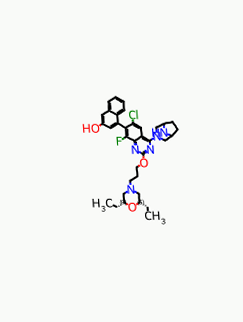 CC[C@@H]1CN(CCCOc2nc(N3CC4CCC(C3)N4)c3cc(Cl)c(-c4cc(O)cc5ccccc45)c(F)c3n2)C[C@H](CC)O1